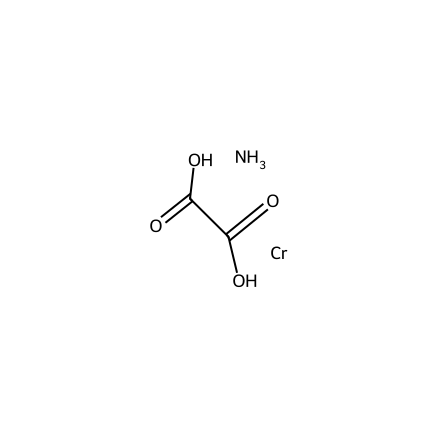 N.O=C(O)C(=O)O.[Cr]